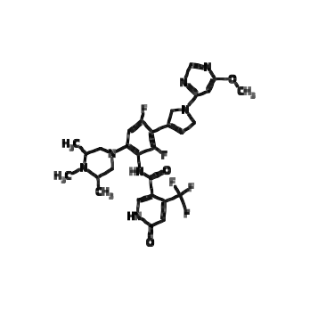 COc1cc(N2CC=C(c3c(F)cc(N4CC(C)N(C)C(C)C4)c(NC(=O)c4c[nH]c(=O)cc4C(F)(F)F)c3F)C2)ncn1